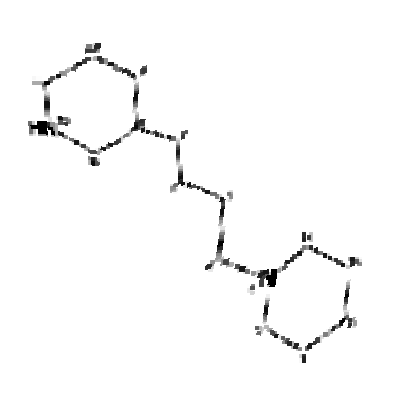 C1CCN(CCCCC2CCCNC2)CC1